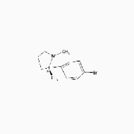 CN1CCC[C@]1(c1ccc(Br)cc1)C(F)(F)F